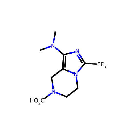 CN(C)c1nc(C(F)(F)F)n2c1CN(C(=O)O)CC2